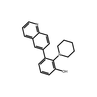 Oc1cccc(-c2ccc3ncccc3c2)c1N1CCCCC1